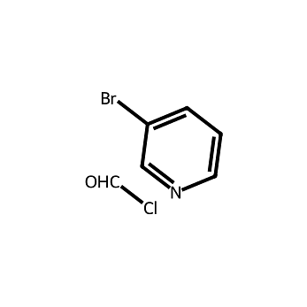 Brc1cccnc1.O=CCl